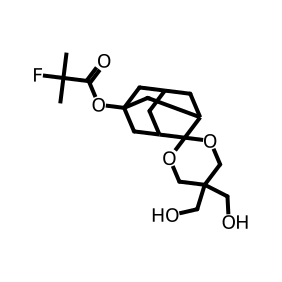 CC(C)(F)C(=O)OC12CC3CC(C1)C1(OCC(CO)(CO)CO1)C(C3)C2